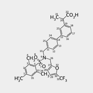 Cc1cc(C)c(S(=O)(=O)N(Cc2ccc(-c3cccc(C(C)C(=O)O)c3)cc2)Cc2ccc(C(F)(F)F)o2)c(C)c1